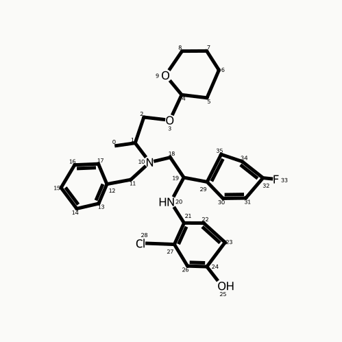 CC(COC1CCCCO1)N(Cc1ccccc1)CC(Nc1ccc(O)cc1Cl)c1ccc(F)cc1